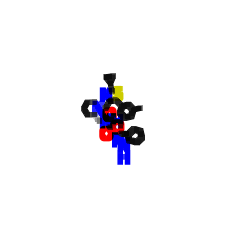 Cc1cccc(-c2sc(C3CC3)nc2C(=O)N2CCCC[C@H]2CNC(=O)Oc2n[nH]c3ccccc23)c1